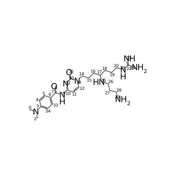 CN(C)c1ccc(C(=O)Nc2ccn(CCCC(CCCNC(=N)N)NCCCN)c(=O)n2)cc1